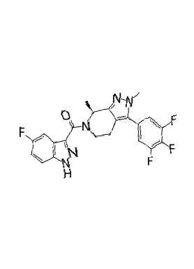 C[C@H]1c2nn(C)c(-c3cc(F)c(F)c(F)c3)c2CCN1C(=O)c1n[nH]c2ccc(F)cc12